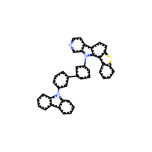 c1cc(-c2cccc(-n3c4cnccc4c4ccc5sc6ccccc6c5c43)c2)cc(-n2c3ccccc3c3ccccc32)c1